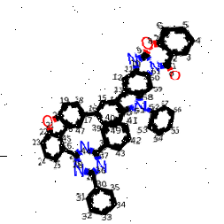 O=c1c2ccccc2oc2nc3cc4c5cc(-c6ccc7oc8cccc(-c9nc(-c%10ccccc%10)nc(-c%10ccccc%10)n9)c8c7c6)ccc5n(-c5ccccc5)c4cc3n12